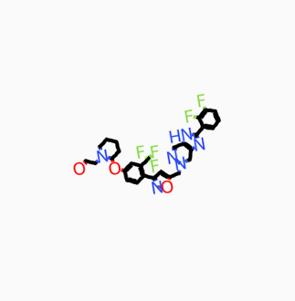 O=CCN1CCCCC1Oc1ccc(-c2cc(CN3Cc4nc(-c5cccc(F)c5F)[nH]c4C=N3)on2)c(C(F)(F)F)c1